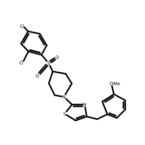 COc1cccc(Cc2csc(N3CCC(S(=O)(=O)c4ccc(Cl)cc4Cl)CC3)n2)c1